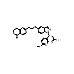 COc1ccc([C@H](CC(=O)O)n2ncc3cc(OCCc4ccc5c(n4)CCCN5)ccc32)cn1